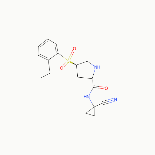 CCc1ccccc1S(=O)(=O)[C@H]1CN[C@H](C(=O)NC2(C#N)CC2)C1